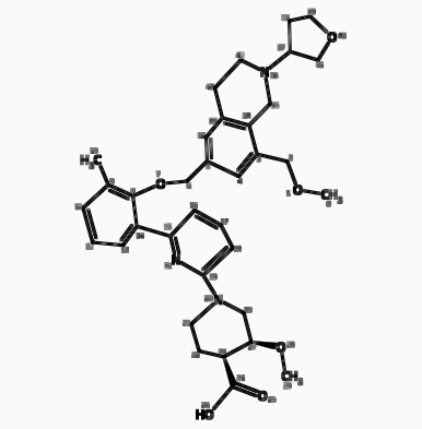 COCc1cc(COc2c(C)cccc2-c2cccc(N3CC[C@H](C(=O)O)[C@H](OC)C3)n2)cc2c1CN(C1CCOC1)CC2